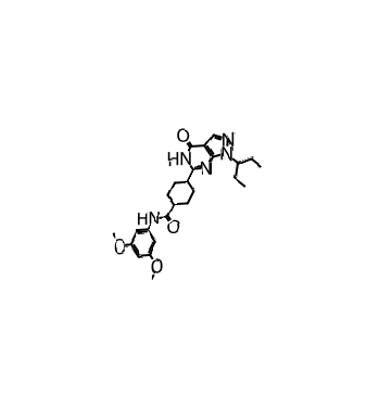 CCC(CC)n1ncc2c(=O)[nH]c(C3CCC(C(=O)Nc4cc(OC)cc(OC)c4)CC3)nc21